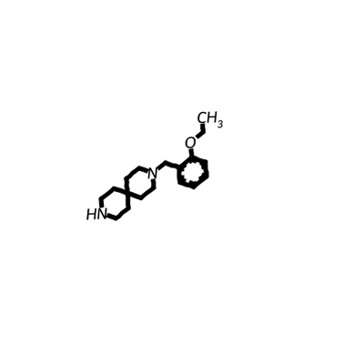 CCOc1ccccc1CN1CCC2(CCNCC2)CC1